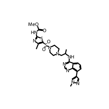 COC(=O)Nc1nc(C)c(S(=O)(=O)N2CCN(CC(C)Nc3ncnc4c(-c5cnn(C)c5)cccc34)CC2)s1